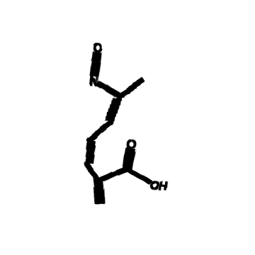 C=C(/C=C\C=C(\C)N=O)C(=O)O